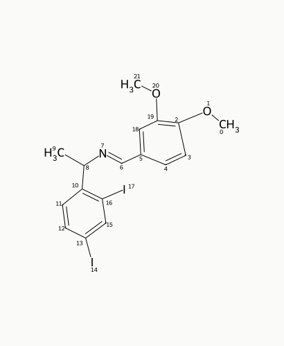 COc1ccc(C=NC(C)c2ccc(I)cc2I)cc1OC